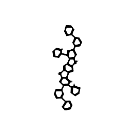 CC1(C)c2cc3c(cc2-c2c1cc(-c1cccc(-c4ccccc4)c1)c1c2oc2ccccc21)C(C)(C)c1cc(-c2cccc(-c4ccccc4)c2)c2oc4ccccc4c2c1-3